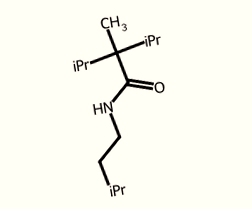 CC(C)CCNC(=O)C(C)(C(C)C)C(C)C